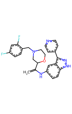 C=C(Nc1ccc2[nH]nc(-c3ccncc3)c2c1)C1CN(Cc2ccc(F)cc2F)CCO1